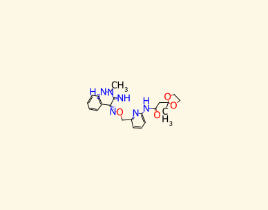 CN(N)C(=N)/C(=N\OCc1cccc(NC(=O)CC2(C)OCCO2)n1)c1ccccc1